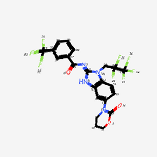 O=C(/N=c1\[nH]c2cc(N3CCCOC3=O)ccc2n1CC(F)(F)C(F)(F)F)c1cccc(C(F)(F)F)c1